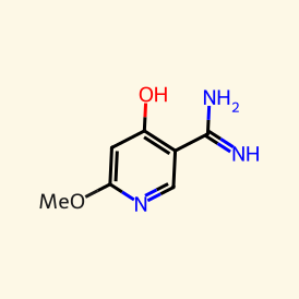 COc1cc(O)c(C(=N)N)cn1